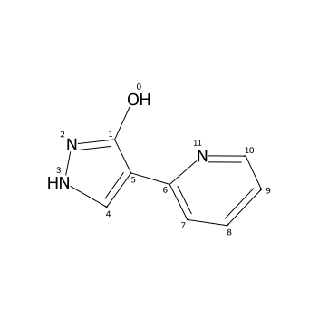 Oc1n[nH]cc1-c1ccccn1